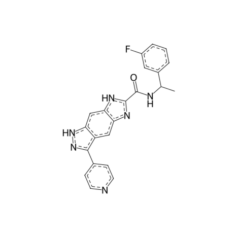 CC(NC(=O)c1nc2cc3c(-c4ccncc4)n[nH]c3cc2[nH]1)c1cccc(F)c1